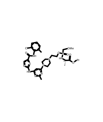 COCP(=O)(N[C@@H](C)C(=O)OC(C)C)OCCN1CCN(c2cc(Nc3ncc(C(=O)Nc4c(C)cccc4Cl)s3)nc(C)n2)CC1